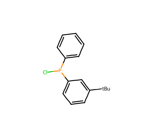 CC(C)(C)c1cccc(P(Cl)c2ccccc2)c1